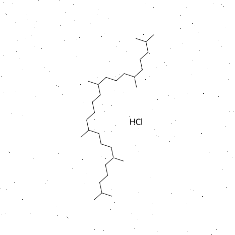 CC(C)CCCC(C)CCCC(C)CCCCC(C)CCCC(C)CCCC(C)C.Cl